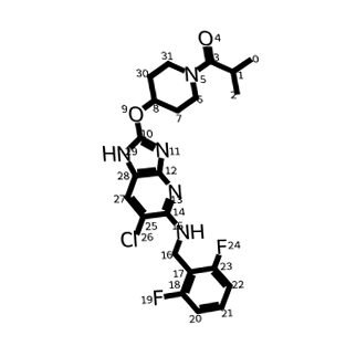 CC(C)C(=O)N1CCC(Oc2nc3nc(NCc4c(F)cccc4F)c(Cl)cc3[nH]2)CC1